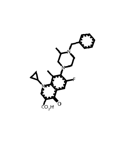 Cc1c(N2CCN(Cc3ccccc3)C(C)C2)c(F)cc2c(=O)c(C(=O)O)cn(C3CC3)c12